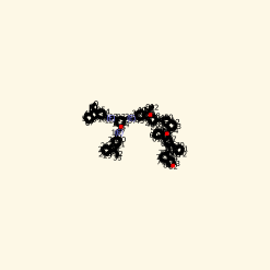 CCn1c2ccccc2c2cc(/C=C/c3cc(/C=C/c4ccc5c(c4)c4ccccc4n5CC)cc(/C=C/c4ccc5c(c4)c4ccc(-c6ccc7cccc(-n8c9ccccc9c9cc%10c(cc98)c8ccccc8n%10-c8cccc9ccccc89)c7c6)cc4n5CC)c3)ccc21